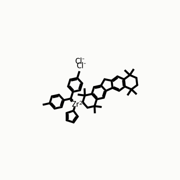 Cc1ccc([C](c2ccc(C)cc2)=[Zr+2]([CH]2C=CC=C2)[CH]2CC(C)(C)c3cc4c(cc3C2(C)C)Cc2cc3c(cc2-4)C(C)(C)CCC3(C)C)cc1.[Cl-].[Cl-]